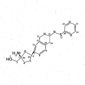 N[C@]1(CO)CC[C@H](c2ccc3c(c2)CCC(CSc2ccccc2)C3)C1